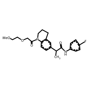 COCCOCC(=O)N1CCCc2cc(C(C)C(=O)Nc3ccc(F)cc3)ccc21